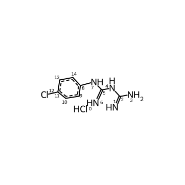 Cl.N=C(N)NC(=N)Nc1ccc(Cl)cc1